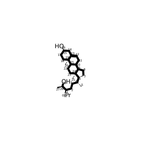 CC(C)[C@H](CC[C@@H](C)[C@H]1CCC2C3CC=C4C[C@@H](O)CC[C@]4(C)C3CC[C@@]21C)[C@@H](C)O